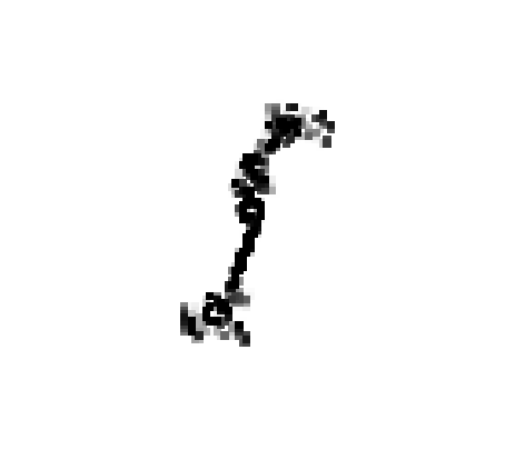 CC(C)(C)OC(=O)NCCCCCCCCN1CCC(C(=O)Nc2ncc(SCc3ncc(C(C)(C)C)o3)s2)CC1